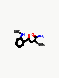 CC(=O)NC(CC(=O)c1ccccc1NC=O)C(N)=O